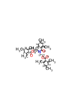 Cc1cc(C)c(C(=O)OCCN(CCOC(=O)c2c(C)cc(C)cc2C)C(=O)c2c(C)cc(C)cc2C)c(C)c1